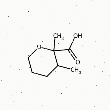 CC1CCCOC1(C)C(=O)O